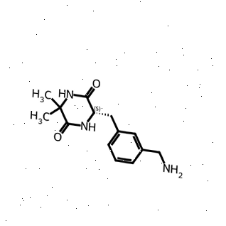 CC1(C)NC(=O)[C@H](Cc2cccc(CN)c2)NC1=O